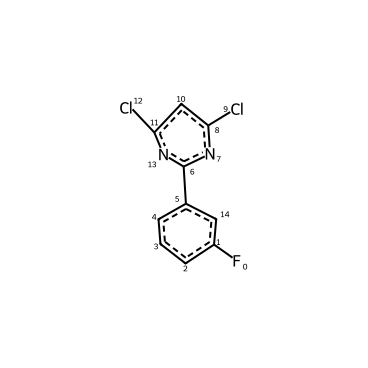 Fc1cccc(-c2nc(Cl)cc(Cl)n2)c1